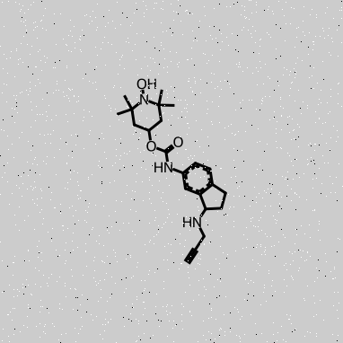 C#CCNC1CCc2ccc(NC(=O)OC3CC(C)(C)N(O)C(C)(C)C3)cc21